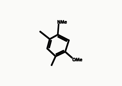 CNc1cc(OC)c(C)cc1C